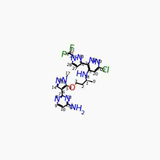 C[C@@H](CCOc1c(-c2nccc(N)n2)cnn1C)Nc1cc(Cl)nnc1-c1ccn(C(F)F)n1